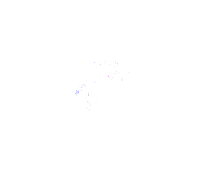 Cc1ncsc1-c1ccc([C@H](C)NC(=O)[C@@H]2C[C@@H](O)CN2C(=O)[C@@H](NC(=O)COC2CCN(CC(C)Oc3nc(N4CC5CCC(C4)N5)c4cc(Cl)c(-c5ccc(F)c6sc(N)nc56)c(F)c4n3)CC2)C(C)(C)C)cc1